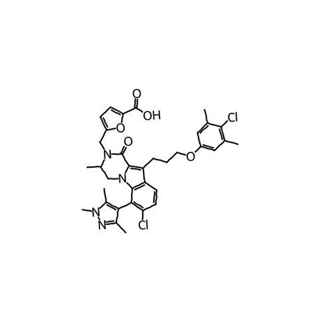 Cc1cc(OCCCc2c3n(c4c(-c5c(C)nn(C)c5C)c(Cl)ccc24)CC(C)N(Cc2ccc(C(=O)O)o2)C3=O)cc(C)c1Cl